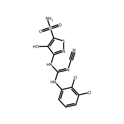 N#CN=C(Nc1cccc(Cl)c1Cl)Nc1nsc(S(N)(=O)=O)c1O